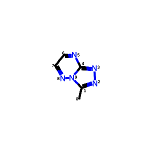 Cc1nnc2nccnn12